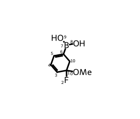 COC1(F)C=CC=C(B(O)O)C1